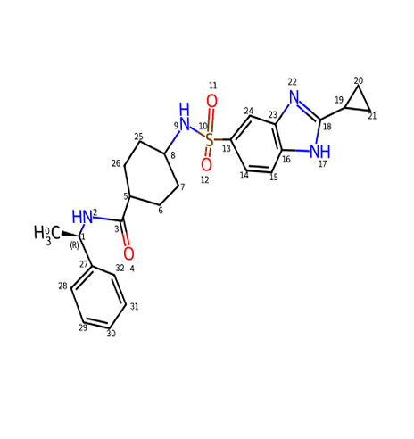 C[C@@H](NC(=O)C1CCC(NS(=O)(=O)c2ccc3[nH]c(C4CC4)nc3c2)CC1)c1ccccc1